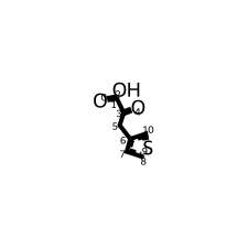 O=C(O)C(=O)Cc1ccsc1